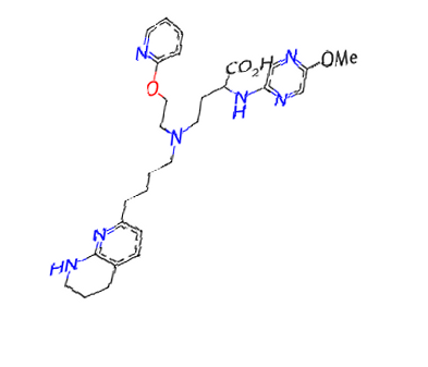 COc1cnc(NC(CCN(CCCCc2ccc3c(n2)NCCC3)CCOc2ccccn2)C(=O)O)cn1